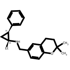 CC[C@@]1(NCc2ccc3c(c2)CCC(C)(C)O3)C[C@H]1c1ccccc1